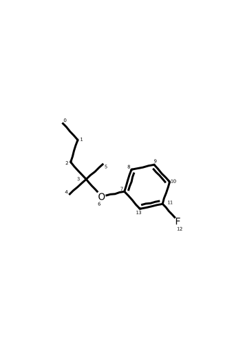 CCCC(C)(C)Oc1cccc(F)c1